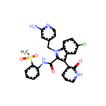 CS(=O)(=O)c1ccccc1NC(=O)c1c(-c2ccc[nH]c2=O)c2cc(Cl)ccc2n1Cc1ccnc(N)c1